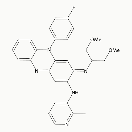 COCC(COC)/N=c1\cc2n(-c3ccc(F)cc3)c3ccccc3nc-2cc1Nc1cccnc1C